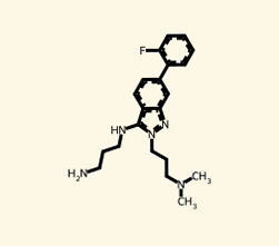 CN(C)CCCn1nc2cc(-c3ccccc3F)ccc2c1NCCCN